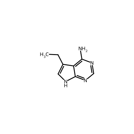 CCc1c[nH]c2ncnc(N)c12